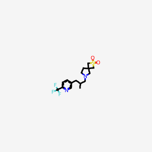 CC(Cc1ccc(C(F)(F)F)nc1)CN1CCC2(C1)CS(=O)(=O)C2